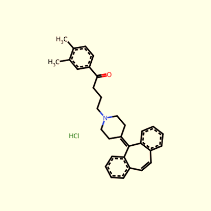 Cc1ccc(C(=O)CCCN2CCC(=C3c4ccccc4C=Cc4ccccc43)CC2)cc1C.Cl